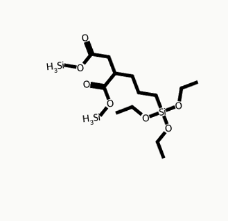 CCO[Si](CCCC(CC(=O)O[SiH3])C(=O)O[SiH3])(OCC)OCC